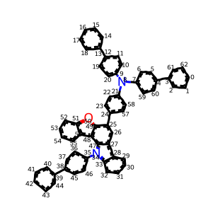 c1ccc(-c2ccc(N(c3ccc(-c4ccccc4)cc3)c3ccc(-c4cc5c6ccccc6n(-c6ccc(-c7ccccc7)cc6)c5c5c4oc4ccccc45)cc3)cc2)cc1